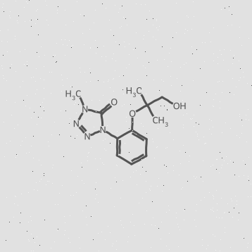 Cn1nnn(-c2ccccc2OC(C)(C)CO)c1=O